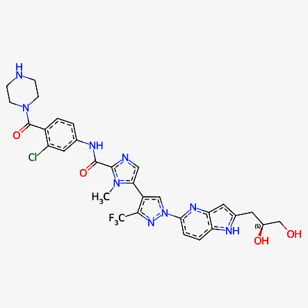 Cn1c(-c2cn(-c3ccc4[nH]c(C[C@H](O)CO)cc4n3)nc2C(F)(F)F)cnc1C(=O)Nc1ccc(C(=O)N2CCNCC2)c(Cl)c1